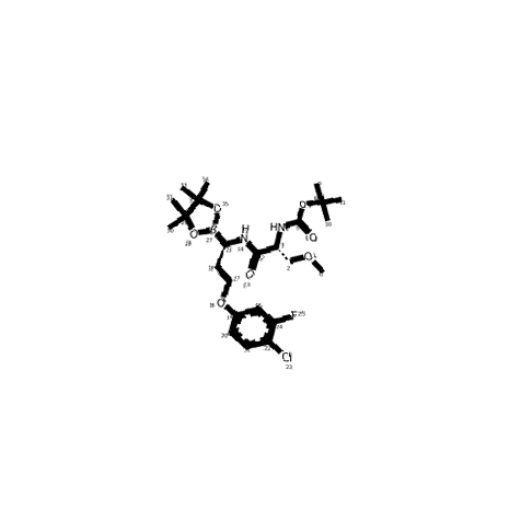 COC[C@@H](NC(=O)OC(C)(C)C)C(=O)N[C@@H](CCOc1ccc(Cl)c(F)c1)B1OC(C)(C)C(C)(C)O1